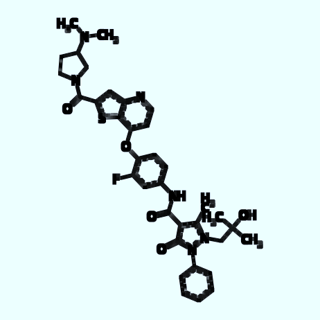 Cc1c(C(=O)Nc2ccc(Oc3ccnc4cc(C(=O)N5CCC(N(C)C)C5)sc34)c(F)c2)c(=O)n(-c2ccccc2)n1CC(C)(C)O